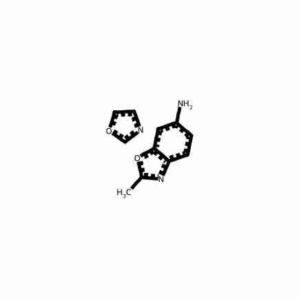 Cc1nc2ccc(N)cc2o1.c1cocn1